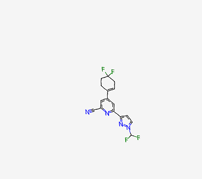 N#Cc1cc(C2=CCC(F)(F)CC2)cc(-c2ccn(C(F)F)n2)n1